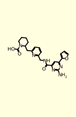 Nc1nc(C(=O)NCc2cccc(CC3CCCCN3C(=O)O)n2)cc(-c2ccco2)n1